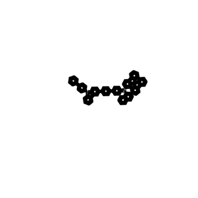 c1ccc(-c2ccc(-n3c4ccccc4c4cc(-c5ccc(-c6ccc(N(c7ccc8c(c7)C7(c9ccccc9-c9ccccc97)c7ccccc7-8)c7cccc8ccccc78)cc6)cc5)ccc43)cc2)cc1